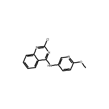 COc1ccc(Nc2nc(Cl)nc3ccccc23)cn1